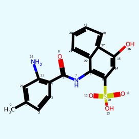 Cc1ccc(C(=O)Nc2c(S(=O)(=O)O)cc(O)c3ccccc23)c(N)c1